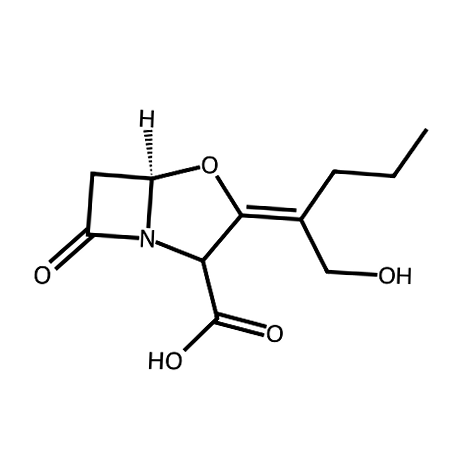 CCC/C(CO)=C1\O[C@@H]2CC(=O)N2C1C(=O)O